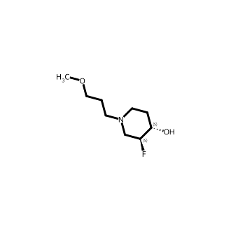 COCCCN1CC[C@H](O)[C@@H](F)C1